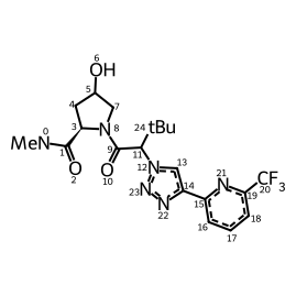 CNC(=O)[C@H]1CC(O)CN1C(=O)C(n1cc(-c2cccc(C(F)(F)F)n2)nn1)C(C)(C)C